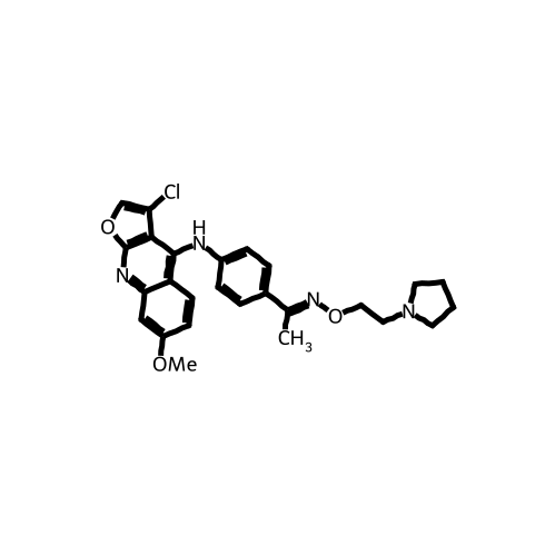 COc1ccc2c(Nc3ccc(C(C)=NOCCN4CCCC4)cc3)c3c(Cl)coc3nc2c1